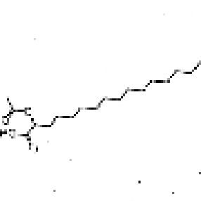 CCCCCCCCCCCCCCC(OC(C)=O)C(=O)O